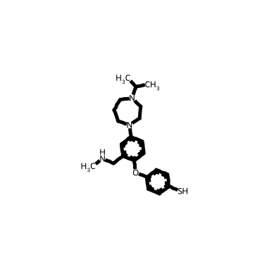 CNCc1cc(N2CCCN(C(C)C)CC2)ccc1Oc1ccc(S)cc1